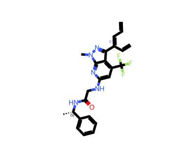 C=C/C=C(\C=C)c1nn(C)c2nc(NCC(=O)N[C@@H](C)c3ccccc3)cc(C(F)(F)F)c12